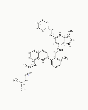 Cc1cccc(-c2ccc3cccc(NC(=O)/C=C/CN(C)C)c3n2)c1CNc1nc(NCC2CCNCC2)nc2c(C(C)C)cnn12